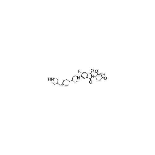 O=C1CCC(N2C(=O)c3cc(F)c(N4CCC(C5CCN(CC6CCNCC6)CC5)CC4)cc3C2=O)C(=O)N1